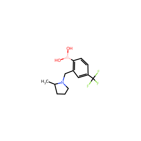 CC1CCCN1Cc1cc(C(F)(F)F)ccc1B(O)O